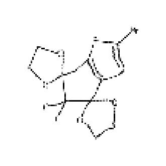 FC1(F)C2(OCCO2)c2cc(Br)sc2C12OCCO2